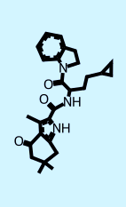 Cc1c(C(=O)NC(CCC2CC2)C(=O)N2CCc3ccccc32)[nH]c2c1C(=O)CC(C)(C)C2